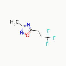 Cc1noc(CCC(F)(F)F)n1